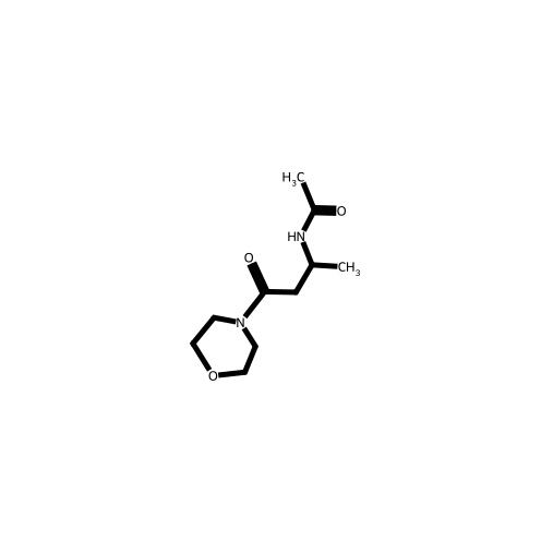 CC(=O)NC(C)CC(=O)N1CCOCC1